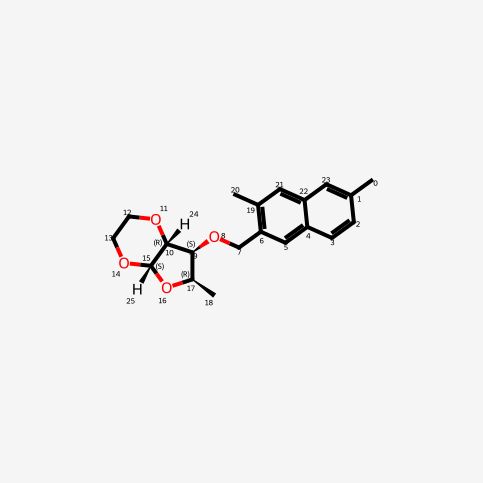 Cc1ccc2cc(CO[C@@H]3[C@H]4OCCO[C@H]4O[C@@H]3C)c(C)cc2c1